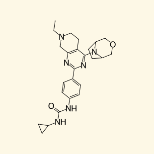 CCN1CCc2c(nc(-c3ccc(NC(=O)NC4CC4)cc3)nc2N2C3CCC2COC3)C1